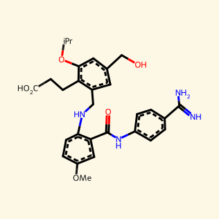 COc1ccc(NCc2cc(CO)cc(OC(C)C)c2CCC(=O)O)c(C(=O)Nc2ccc(C(=N)N)cc2)c1